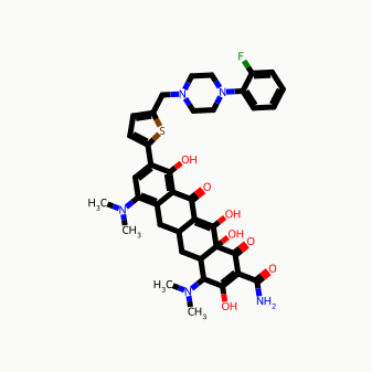 CN(C)c1cc(-c2ccc(CN3CCN(c4ccccc4F)CC3)s2)c(O)c2c1CC1CC3C(N(C)C)C(O)=C(C(N)=O)C(=O)C3(O)C(O)=C1C2=O